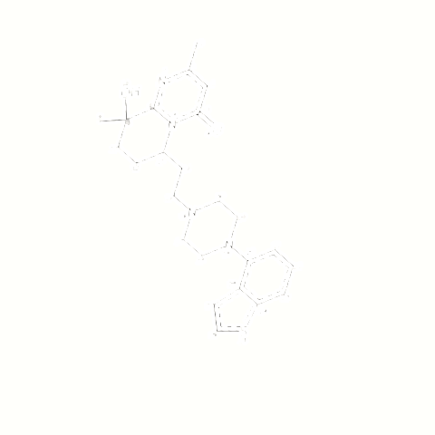 Cc1cc(=O)n2c(n1)C(C)(O)CCC2CCN1CCN(c2cccc3sccc23)CC1